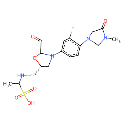 CC(NC[C@H]1CN(c2ccc(N3CC(=O)N(C)C3)c(F)c2)C(C=O)O1)S(=O)(=O)O